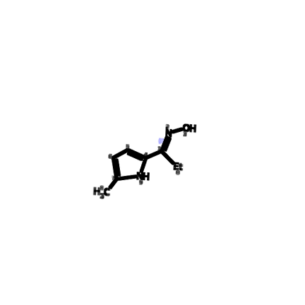 CC/C(=N\O)c1ccc(C)[nH]1